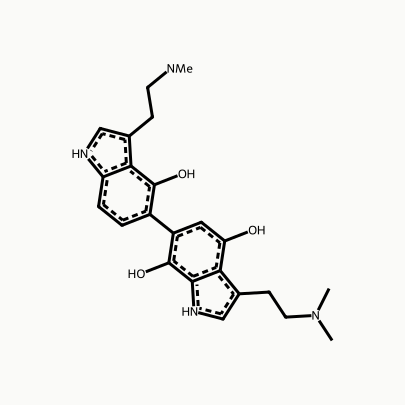 CNCCc1c[nH]c2ccc(-c3cc(O)c4c(CCN(C)C)c[nH]c4c3O)c(O)c12